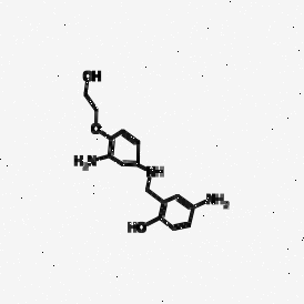 Nc1ccc(O)c(CNc2ccc(OCCO)c(N)c2)c1